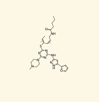 C/C=C(\C=C/CNC(=O)CCCC)Sc1nc(Nc2cc(-c3ccco3)[nH]n2)nc(N2CCN(C)CC2)n1